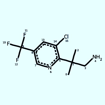 CC(C)(CN)c1ncc(C(F)(F)F)cc1Cl